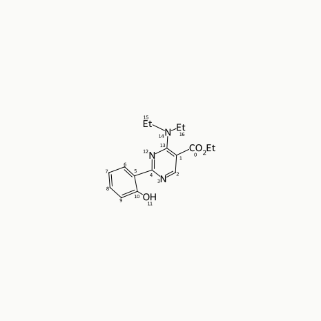 CCOC(=O)c1cnc(-c2ccccc2O)nc1N(CC)CC